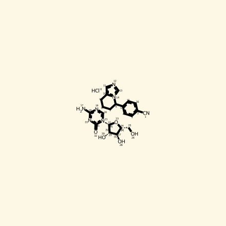 Cl.N#Cc1ccc(C2CCCc3cncn32)cc1.Nc1ncn([C@@H]2O[C@H](CO)[C@@H](O)[C@@H]2O)c(=O)n1